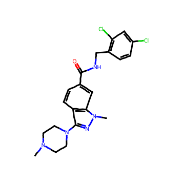 CN1CCN(c2nn(C)c3cc(C(=O)NCc4ccc(Cl)cc4Cl)ccc23)CC1